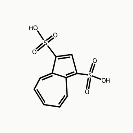 O=S(=O)(O)c1cc(S(=O)(=O)O)c2cccccc1-2